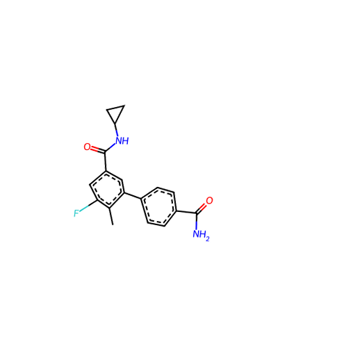 Cc1c(F)cc(C(=O)NC2CC2)cc1-c1ccc(C(N)=O)cc1